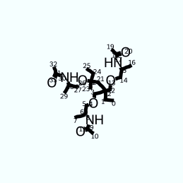 CCC(COCC(C)NC(C)=O)(COCC(C)NC(C)=O)CC(C)(CC)OCC(C)NC(C)=O